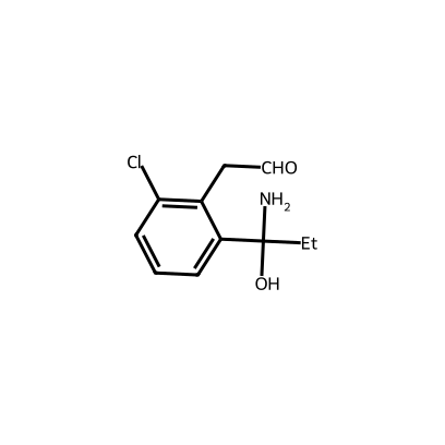 CCC(N)(O)c1cccc(Cl)c1CC=O